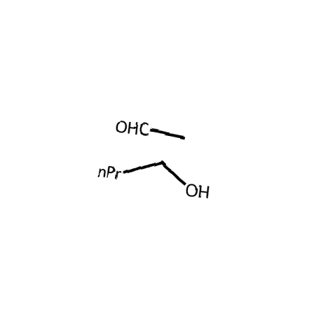 CC=O.CCCCO